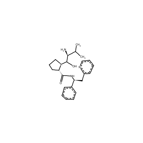 CC(C)[C@H](N)C(O)N1CCC[C@H]1C(=O)N[C@@H](Cc1ccccn1)c1ccccc1